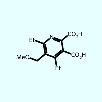 CCc1nc(C(=O)O)c(C(=O)O)c(CC)c1COC